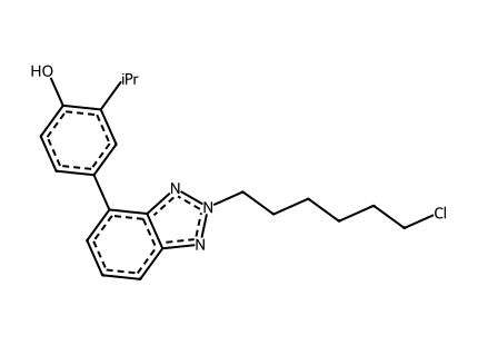 CC(C)c1cc(-c2cccc3nn(CCCCCCCl)nc23)ccc1O